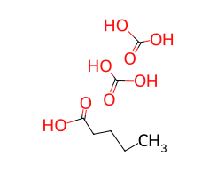 CCCCC(=O)O.O=C(O)O.O=C(O)O